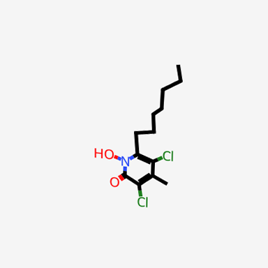 CCCCCCCc1c(Cl)c(C)c(Cl)c(=O)n1O